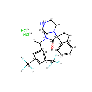 CC(c1cc(C(F)(F)F)cc(C(F)(F)F)c1)N(C)C(=O)[C@]1(N2CCNCC2)CCc2ccccc21.Cl.Cl